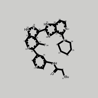 CC(C)(C)CC(=O)Nc1cncc(-c2ncc3[nH]nc(-c4nc5c(N6CCCCC6)nccc5[nH]4)c3c2F)c1